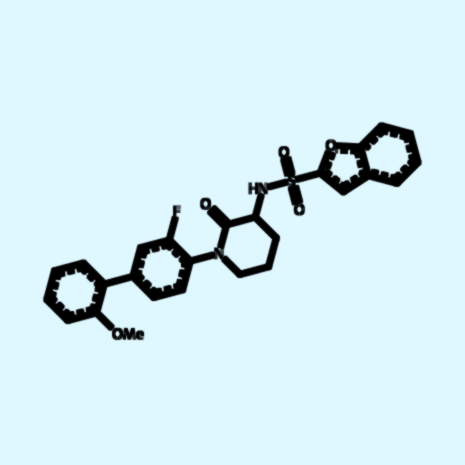 COc1ccccc1-c1ccc(N2CCCC(NS(=O)(=O)c3cc4ccccc4o3)C2=O)c(F)c1